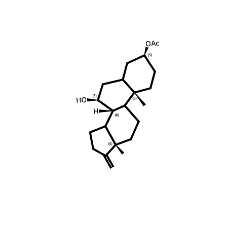 C=C1CCC2[C@H]3C(CC[C@]12C)[C@@]1(C)CC[C@H](OC(C)=O)CC1C[C@@H]3O